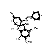 COc1cc(OC)c2c(c1Cl)O[C@]1(C2=O)C(NCc2ccccc2)=CC(=O)C[C@H]1C